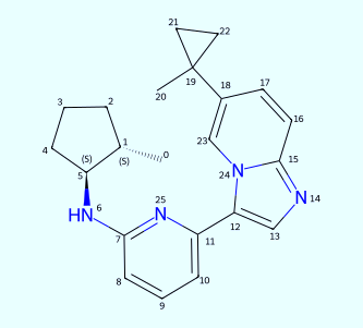 C[C@H]1CCC[C@@H]1Nc1cccc(-c2cnc3ccc(C4(C)CC4)cn23)n1